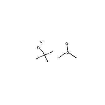 CC(C)(C)[O-].C[S+](C)[O-].[K+]